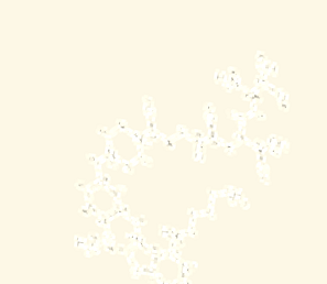 CCCCCNc1nc(N)nc2ccn(Cc3cc(CN4CCN(C(=O)CCNC(=O)CC(SC[C@H](N)C(=O)O)C(=O)O)CC4)ccc3OC)c12